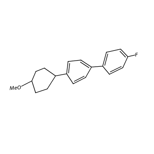 COC1CCC(c2ccc(-c3ccc(F)cc3)cc2)CC1